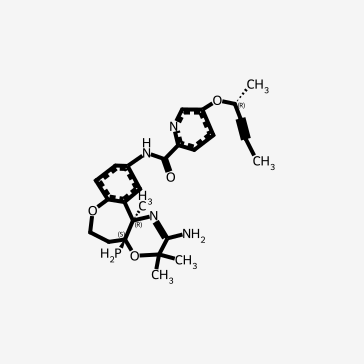 CC#C[C@@H](C)Oc1ccc(C(=O)Nc2ccc3c(c2)[C@@]2(C)N=C(N)C(C)(C)O[C@]2(P)CCO3)nc1